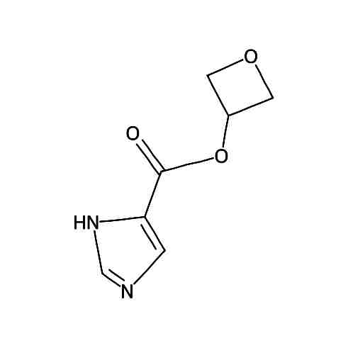 O=C(OC1COC1)c1cnc[nH]1